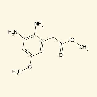 COC(=O)Cc1cc(OC)cc(N)c1N